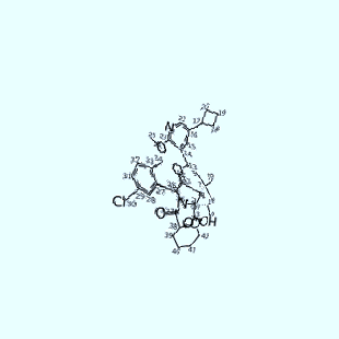 CC[C@@]1(C(=O)O)[C@@H](C(C)(C)C)[C@H](OCc2cc(C3CCC3)cnc2OC)[C@H](c2cc(Cl)ccc2C)N1C(=O)C1CCCCO1